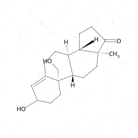 C[C@]12CC[C@H]3[C@@H](CCC4=CC(O)CC[C@@]43CO)[C@@H]1CCC2=O